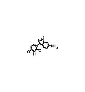 Cn1nc(-n2ccc(=O)[nH]c2=O)c2ccc(N)cc21